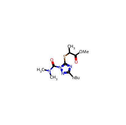 CCCCc1nc(SC(C)C(=O)OC)n(C(=O)N(C)C)n1